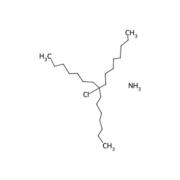 CCCCCCCCC(Cl)(CCCCCCC)CCCCCCC.N